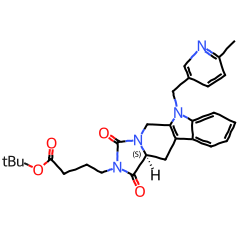 Cc1ccc(Cn2c3c(c4ccccc42)C[C@H]2C(=O)N(CCCC(=O)OC(C)(C)C)C(=O)N2C3)cn1